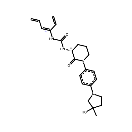 C=C/C=C(\C=C)NC(=O)N[C@@H]1CCCN(c2ccc(N3CCC(C)(O)C3)cc2)C1=O